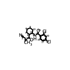 CN(C#N)C(=O)C1CCCCC1NC(=O)c1ccc(Cl)cc1Cl